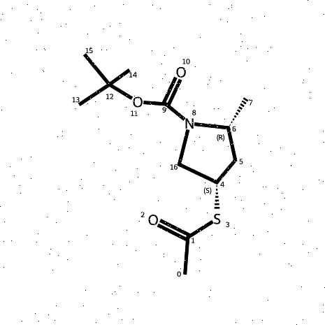 CC(=O)S[C@H]1C[C@@H](C)N(C(=O)OC(C)(C)C)C1